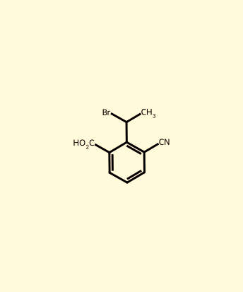 CC(Br)c1c(C#N)cccc1C(=O)O